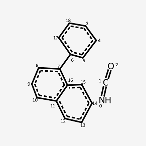 N=C=O.c1ccc(-c2cccc3ccccc23)cc1